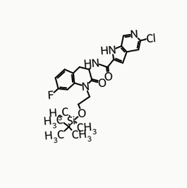 CC(C)(C)[Si](C)(C)OCCN1C(=O)C(NC(=O)c2cc3cc(Cl)ncc3[nH]2)Cc2ccc(F)cc21